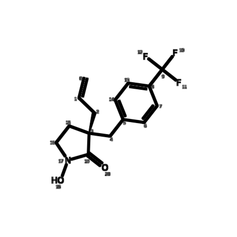 C=CC[C@]1(Cc2ccc(C(F)(F)F)cc2)CCN(O)C1=O